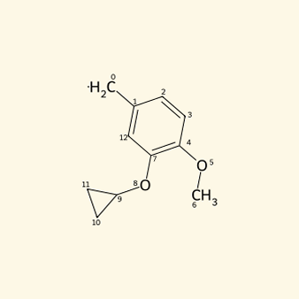 [CH2]c1ccc(OC)c(OC2CC2)c1